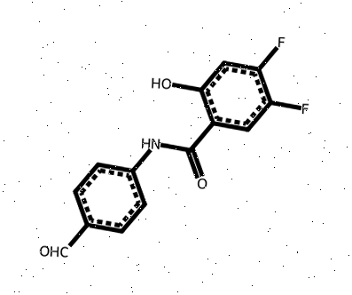 O=Cc1ccc(NC(=O)c2cc(F)c(F)cc2O)cc1